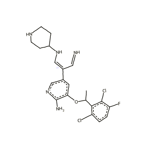 CC(Oc1cc(/C(C=N)=C/NC2CCNCC2)cnc1N)c1c(Cl)ccc(F)c1Cl